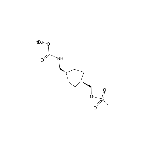 CC(C)(C)OC(=O)NC[C@H]1CC[C@@H](COS(C)(=O)=O)CC1